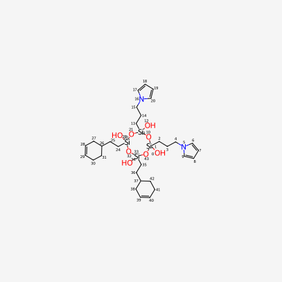 O[Si]1(CCCn2cccc2)O[Si](O)(CCCn2cccc2)O[Si](O)(CCC2CC=CCC2)O[Si](O)(CCC2CC=CCC2)O1